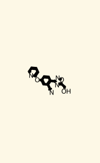 N#Cc1cc(Oc2ccccn2)ccc1-c1noc(CO)n1